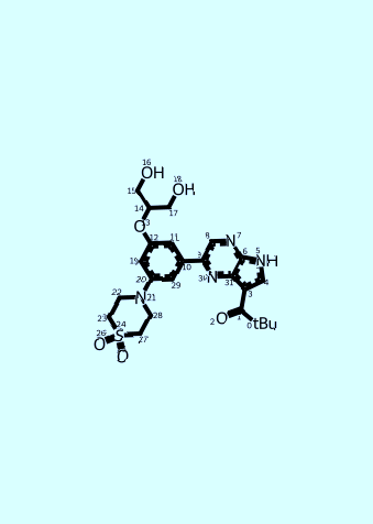 CC(C)(C)C(=O)c1c[nH]c2ncc(-c3cc(OC(CO)CO)cc(N4CCS(=O)(=O)CC4)c3)nc12